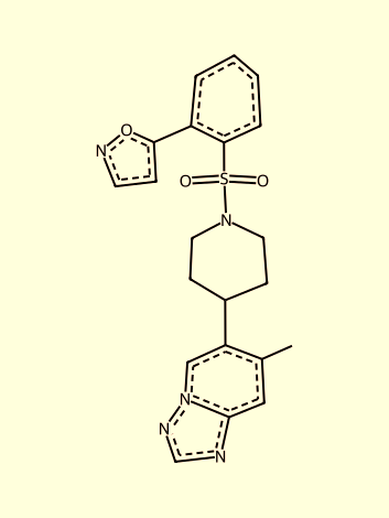 Cc1cc2ncnn2cc1C1CCN(S(=O)(=O)c2ccccc2-c2ccno2)CC1